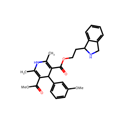 COC(=O)C1=C(C)NC(C)=C(C(=O)OCCC2NCc3ccccc32)C1c1cccc(OC)c1